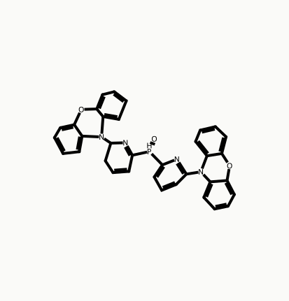 O=[PH](C1=NC(N2c3ccccc3Oc3ccccc32)CC=C1)c1cccc(N2c3ccccc3Oc3ccccc32)n1